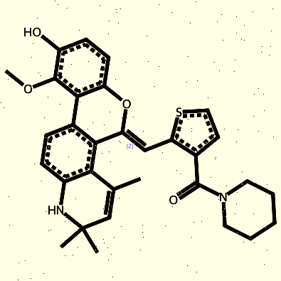 COc1c(O)ccc2c1-c1ccc3c(c1/C(=C/c1sccc1C(=O)N1CCCCC1)O2)C(C)=CC(C)(C)N3